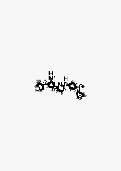 Nc1cc(-c2ccnc(Nc3ccc([S+]([O-])N4CCOCC4)cc3)n2)ccc1OC1CCOCC1